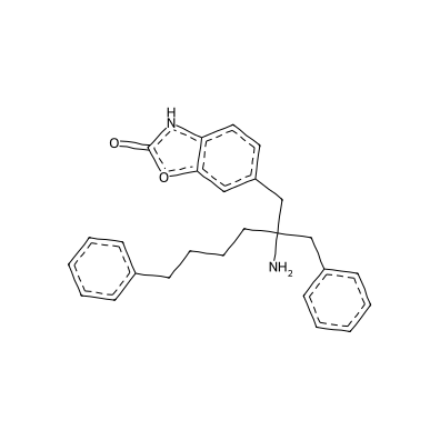 NC(CCCCc1ccccc1)(Cc1ccccc1)Cc1ccc2[nH]c(=O)oc2c1